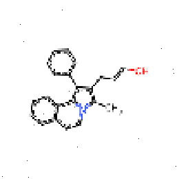 Cc1c(CC=CO)c(-c2ccccc2)c2c3ccccc3ccn12